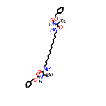 CCC(C)C(NC(=O)OCc1ccccc1)C(=O)NCCCCCCCCCCCCCCNC(=O)C(NC(=O)OCc1ccccc1)C(C)CC